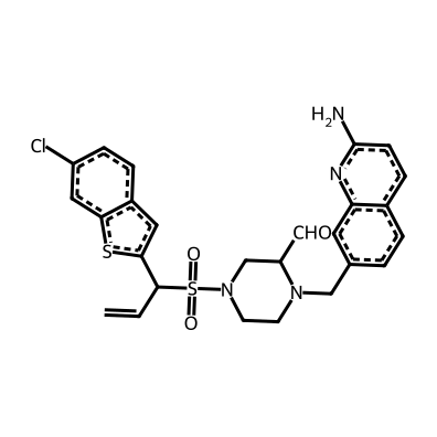 C=CC(c1cc2ccc(Cl)cc2s1)S(=O)(=O)N1CCN(Cc2ccc3ccc(N)nc3c2)C(C=O)C1